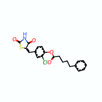 O=C(CCCCc1ccccc1)Oc1ccc(C=C2SC(=O)NC2=O)cc1Cl